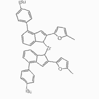 CCC(C)c1ccc(-c2cccc3c2C=C(c2ccc(C)o2)[CH]3[Zr][CH]2C(c3ccc(C)o3)=Cc3c(-c4ccc(C(C)CC)cc4)cccc32)cc1